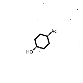 CC(=O)[C@H]1CC[C@@H](O)CC1